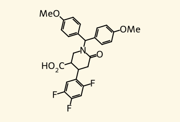 COc1ccc(C(c2ccc(OC)cc2)N2CC(C(=O)O)C(c3cc(F)c(F)cc3F)CC2=O)cc1